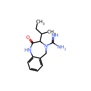 CCC(C)C1C(=O)Nc2ccccc2CN1C(=N)N